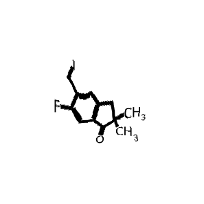 CC1(C)Cc2cc(CI)c(F)cc2C1=O